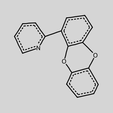 c1ccc(-c2cccc3c2Oc2ccccc2O3)nc1